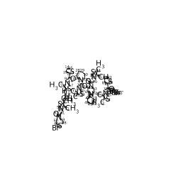 Cc1c(CCO)sc[n+]1CC(=O)c1cccs1.Cc1sc[n+](CC(=O)N2CCCCCC2)c1C.Cc1sc[n+](CC(=O)N2CCN(c3ccccc3)CC2)c1C.Cc1sc[n+](CC(=O)N2CCSCC2)c1C.Cc1sc[n+](CC(=O)c2cccs2)c1C.[Br-].[Br-].[Br-].[Br-].[Br-]